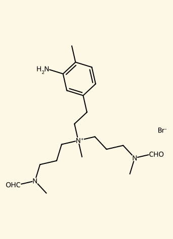 Cc1ccc(CC[N+](C)(CCCN(C)C=O)CCCN(C)C=O)cc1N.[Br-]